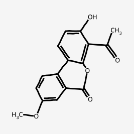 COc1ccc2c(c1)c(=O)oc1c(C(C)=O)c(O)ccc12